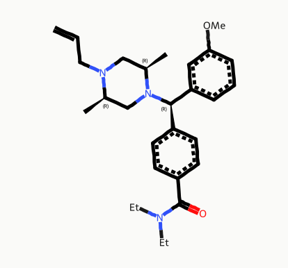 C=CCN1C[C@@H](C)N([C@H](c2ccc(C(=O)N(CC)CC)cc2)c2cccc(OC)c2)C[C@H]1C